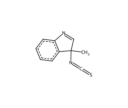 CC1(N=C=S)C=Nc2ccccc21